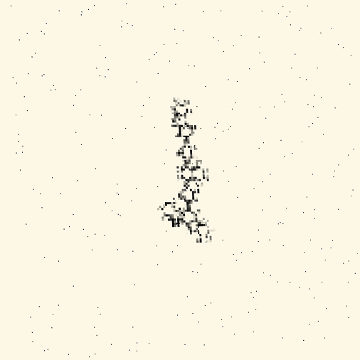 c1ccc2c(c1)nc1c3sc4ccccc4c3cc(-c3ccc(-c4ccc(-c5ccc(-c6ccc7c(c6)sc6ccccc67)cc5)c5ccccc45)cc3)n21